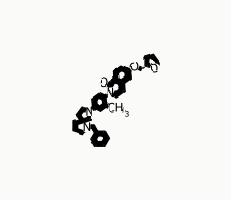 Cc1cc(N2CCC3(CCCN3Cc3ccccc3)C2)ccc1-n1ccc2cc(OC[C@@H]3CCCO3)ccc2c1=O